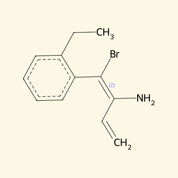 C=C/C(N)=C(/Br)c1ccccc1CC